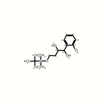 CC(C)(C)[Si](C)(C)OCCC(O)C(O)c1ccccc1Cl